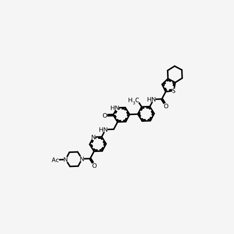 CC(=O)N1CCN(C(=O)c2ccc(NCc3cc(-c4cccc(NC(=O)c5cc6c(s5)CCCC6)c4C)c[nH]c3=O)nc2)CC1